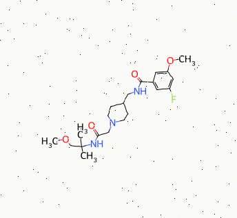 COCC(C)(C)NC(=O)CN1CCC(CNC(=O)c2cc(F)cc(OC)c2)CC1